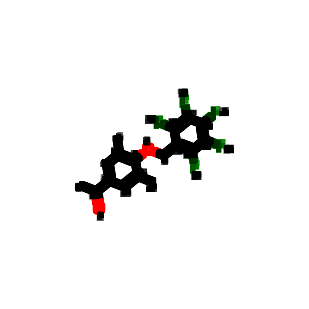 CC(=O)c1cc(C)c(OCc2c(F)c(F)c(F)c(F)c2F)c(C)c1